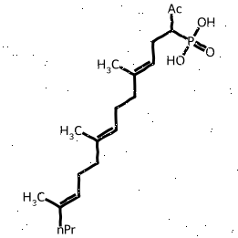 CCC/C(C)=C/CC/C(C)=C/CC/C(C)=C/CC(C(C)=O)P(=O)(O)O